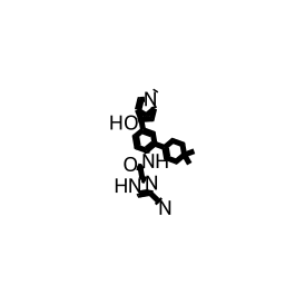 CN1C=C2CC1CC2(O)c1ccc(NC(=O)c2nc(C#N)c[nH]2)c(C2=CCC(C)(C)CC2)c1